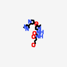 COCCCC(=O)NC(=O)Nc1ccc(Oc2ccnc(-c3cnn(C)c3)c2)c(C)n1